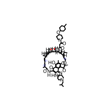 CC[C@H]1/C=C/O[C@@]2(C)Oc3c(C)c(O)c4c(c3C2=O)C2=NC3(CCN(CC(C)C)CC3)NC2=C(NC(=O)/C(C)=C\C=C\[C@H](C)[C@H](O)[C@@H](C)[C@@H](O)[C@@H](C)[C@H](OC(=O)CC(=O)N2CCC(OC3CCC(C)CC3)CC2)[C@@H]1C)C4=O